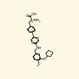 COc1ccc(CNc2cnc(-c3ccc(C[C@H](N)C(=O)O)cc3)cn2)cc1OC1CCCC1